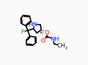 CCNC(=O)O[C@H]1CNC(C(F)(c2ccccc2)c2ccccc2)C1